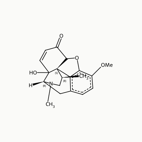 COc1ccc2c3c1OC1C(=O)C=CC4(O)[C@@H](C2)N(C)C[C@H](C)[C@]314